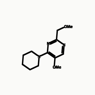 COCc1ncc(OC)c(N2CCCCC2)n1